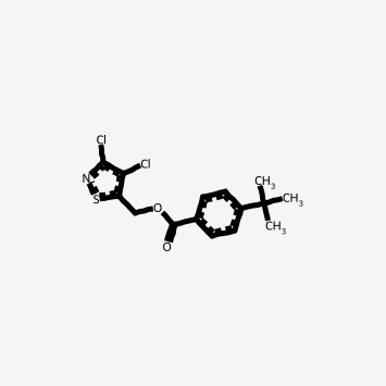 CC(C)(C)c1ccc(C(=O)OCc2snc(Cl)c2Cl)cc1